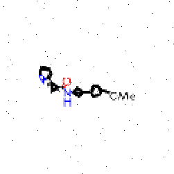 COCc1ccc(C23CC(NC(=O)[C@@H]4C[C@H]4c4ccccn4)(C2)C3)cc1